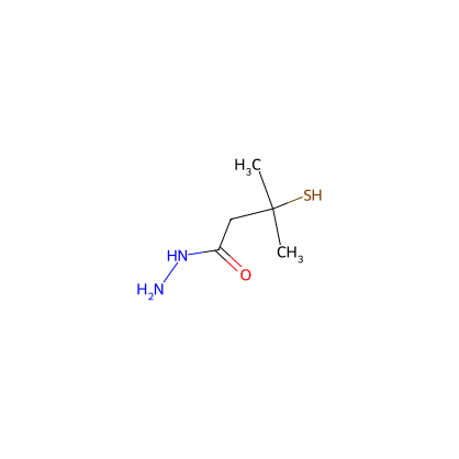 CC(C)(S)CC(=O)NN